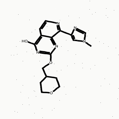 Cn1cnc(-c2nccc3c(O)nc(OCC4CCOCC4)nc23)c1